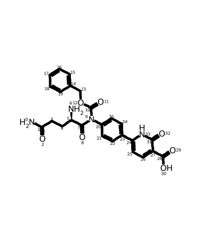 NC(=O)CC[C@@H](N)C(=O)N(C(=O)OCc1ccccc1)c1ccc(-c2ccc(C(=O)O)c(=O)[nH]2)cc1